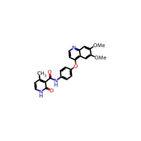 COc1cc2nccc(Oc3ccc(NC(=O)c4c(C)cc[nH]c4=O)cc3)c2cc1OC